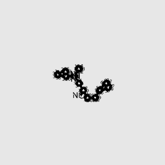 N#Cc1cc(-c2ccc(-c3nc(-c4ccccc4)nc(-c4ccc5c6c(cccc46)-c4ccccc4-5)n3)cc2)ccc1-c1cccc(-c2cccc(-c3ccc4c(c3)-c3cccc5cccc-4c35)c2)c1